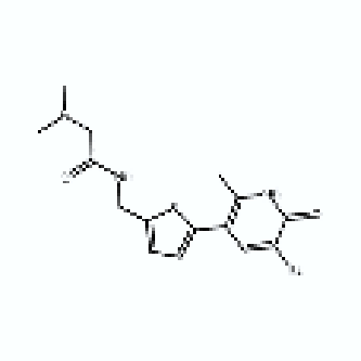 CCc1cc(-c2ccc(CNC(=O)CN(C)C)s2)c(C)[nH]c1=O